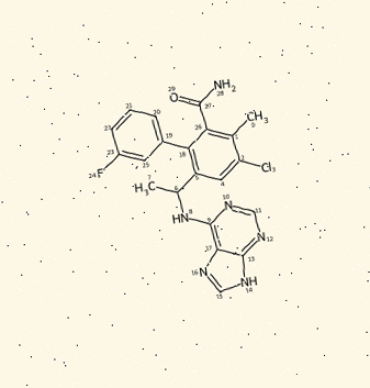 Cc1c(Cl)cc(C(C)Nc2ncnc3[nH]cnc23)c(-c2cccc(F)c2)c1C(N)=O